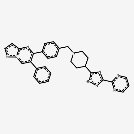 c1ccc(-c2cn3nccc3nc2-c2ccc(CN3CCC(c4nc(-c5ncccn5)n[nH]4)CC3)cc2)cc1